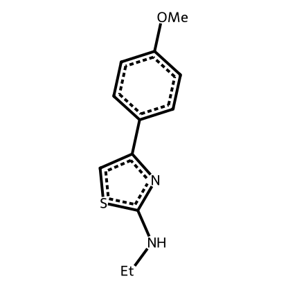 CCNc1nc(-c2ccc(OC)cc2)cs1